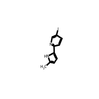 Cc1ccc(-c2ccc(I)cn2)[nH]1